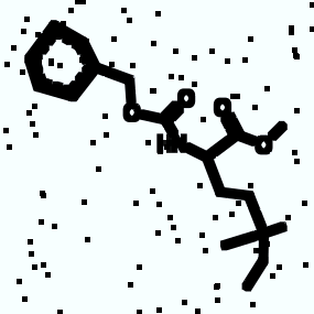 CCC(C)(C)CCC(NC(=O)OCc1ccccc1)C(=O)OC